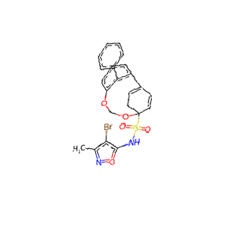 Cc1noc(NS(=O)(=O)C23C=CC(=CC2)c2cccc(c2-c2ccccc2)OCO3)c1Br